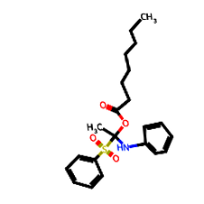 CCCCCCCC(=O)OC(C)(Nc1ccccc1)S(=O)(=O)c1ccccc1